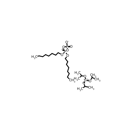 CC(C)[O][Ti+2]([O]C(C)C)[O]C(C)C.CCCCCCCCOP(=O)(OCCCCCCCC)OP(=O)([O-])[O-]